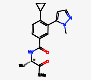 CNC(=O)[C@@H](NC(=O)c1ccc(C2CC2)c(-c2ccnn2C)c1)C(C)(C)C